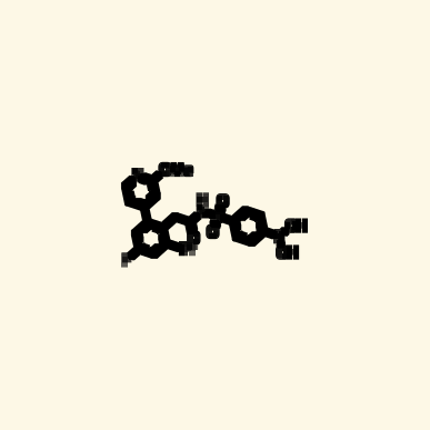 COc1cc(-c2cc(F)cc(C(C)C)c2CC(=O)NS(=O)(=O)c2ccc(B(O)O)cc2)ccn1